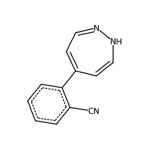 N#Cc1ccccc1C1=CC=NNC=C1